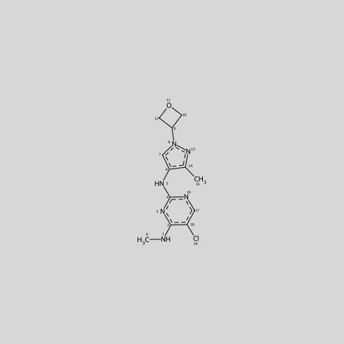 CNc1nc(Nc2cn(C3COC3)nc2C)ncc1Cl